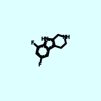 Fc1cc(F)c2[nH]c3c(c2c1)CCNC3